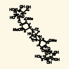 COc1cc([C@H]2OC[C@H]3[C@H]2CO[C@@H]3c2cc(OC)c(O[C@@H]3O[C@H](CO)[C@@H](O)[C@H](O)[C@H]3O)c(OC)c2)cc(OC)c1O[C@@H]1O[C@H](CO)[C@@H](O)[C@H](O)[C@H]1O